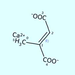 C/C(=C\C(=O)[O-])C(=O)[O-].[Ca+2]